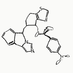 O=C(OC1c2ncsc2CCC1C1c2ccccc2-c2cncn21)c1ccc([N+](=O)[O-])cc1